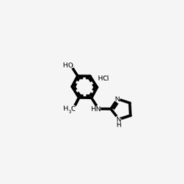 Cc1cc(O)ccc1NC1=NCCN1.Cl